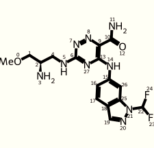 COC[C@H](N)CNc1nnc(C(N)=O)c(Nc2ccc3cnn(C(F)F)c3c2)n1